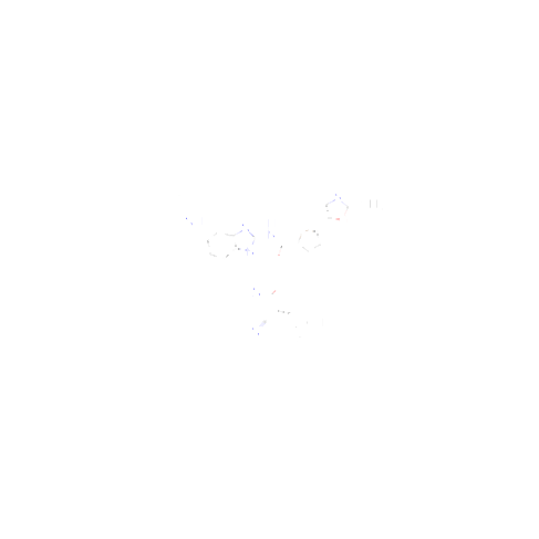 Cc1ncc(-c2ccc(C(=O)Nc3nc4cc(CNCC(F)F)ccc4n3CC3CCCN3C(=O)C(C#N)=CC(C)(C)C)s2)o1